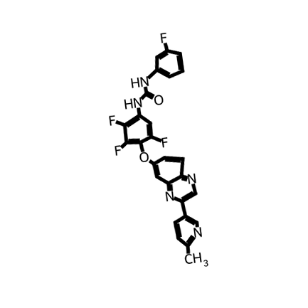 Cc1ccc(-c2cnc3ccc(Oc4c(F)cc(NC(=O)Nc5cccc(F)c5)c(F)c4F)cc3n2)cn1